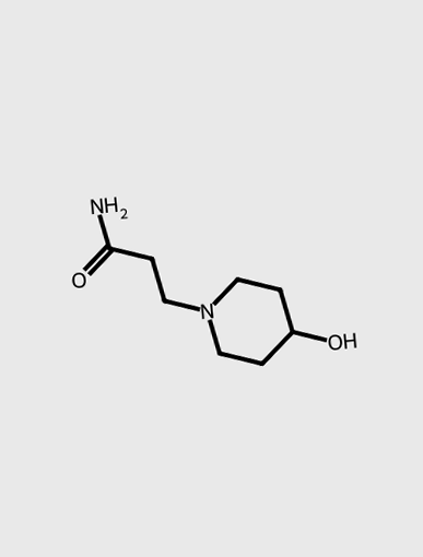 NC(=O)CCN1CCC(O)CC1